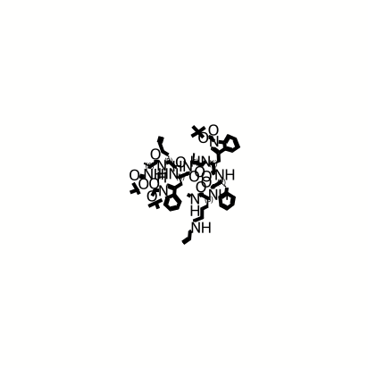 C#CCC[C@@H](NC(=O)[C@H](C)NC(=O)OC(C)(C)C)C(=O)N[C@H](Cc1cn(C(=O)OC(C)(C)C)c2ccccc12)C(=O)N[C@@H](C)C(=O)N[C@@H](Cc1cn(C(=O)OC(C)(C)C)c2ccccc12)C(=O)N[C@H](Cc1ccccc1)C(=O)N[C@@H](CCCCNCC=C)C(=O)NC